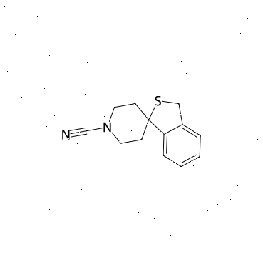 N#CN1CCC2(CC1)SCc1ccccc12